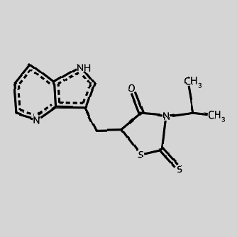 CC(C)N1C(=O)C(Cc2c[nH]c3cccnc23)SC1=S